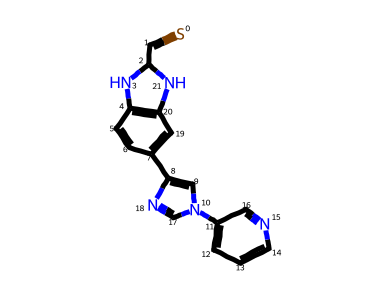 S=CC1Nc2ccc(-c3cn(-c4cccnc4)cn3)cc2N1